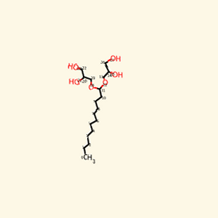 CCCCCCCCCCCC(OCC(O)CO)OCC(O)CO